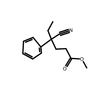 CCC(C#N)(CCC(=O)OC)c1ccccc1